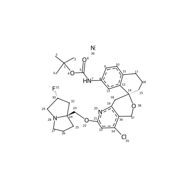 CC(C)(C)OC(=O)Nc1ccc2c(c1)[C@]1(CCC2)Cc2nc(OC[C@@]34CCCN3C[C@H](F)C4)cc(Cl)c2CO1.[N]